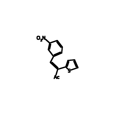 CC(=O)/C(=C/c1cccc([N+](=O)[O-])c1)c1cccs1